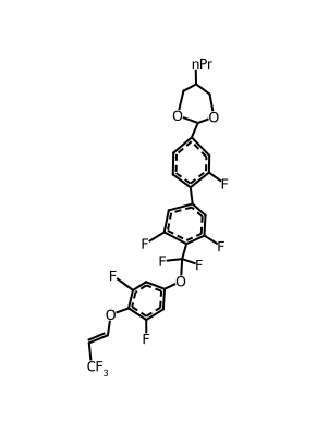 CCCC1COC(c2ccc(-c3cc(F)c(C(F)(F)Oc4cc(F)c(OC=CC(F)(F)F)c(F)c4)c(F)c3)c(F)c2)OC1